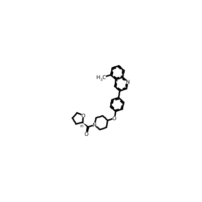 Cc1cccc2ncc(-c3ccc(OC4CCN(C(=O)[C@H]5CCCO5)CC4)cc3)cc12